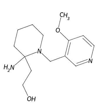 COc1ccncc1CN1CCCCC1(N)CCO